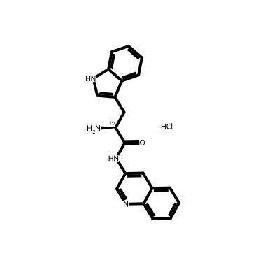 Cl.N[C@@H](Cc1c[nH]c2ccccc12)C(=O)Nc1cnc2ccccc2c1